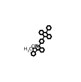 CC1(C)c2ccccc2-c2c1nc(-c1ccc(-c3c4ccccc4c(-c4ccccc4)c4ccccc34)cc1)c1ccccc21